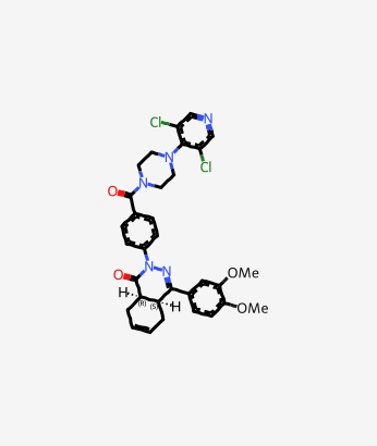 COc1ccc(C2=NN(c3ccc(C(=O)N4CCN(c5c(Cl)cncc5Cl)CC4)cc3)C(=O)[C@@H]3CC=CC[C@H]23)cc1OC